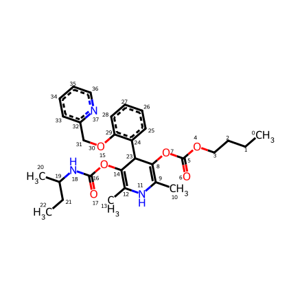 CCCCOC(=O)OC1=C(C)NC(C)=C(OC(=O)NC(C)CC)C1c1ccccc1OCc1ccccn1